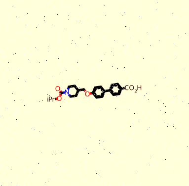 CC(C)OC(=O)N1CCC(COc2ccc(-c3ccc(C(=O)O)cc3)cc2)CC1